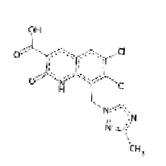 Cc1ncn(Cc2c(Cl)c(Cl)cc3cc(C(=O)O)c(=O)[nH]c23)n1